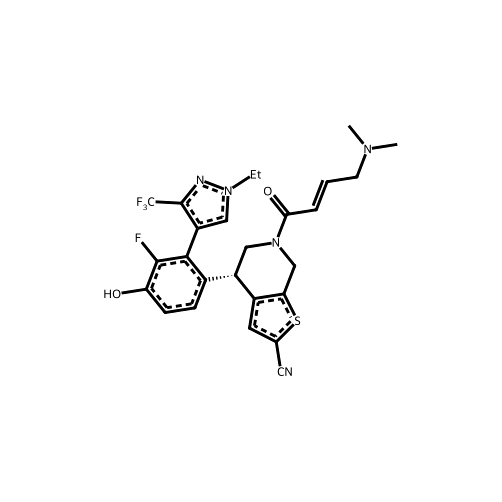 CCn1cc(-c2c([C@@H]3CN(C(=O)/C=C/CN(C)C)Cc4sc(C#N)cc43)ccc(O)c2F)c(C(F)(F)F)n1